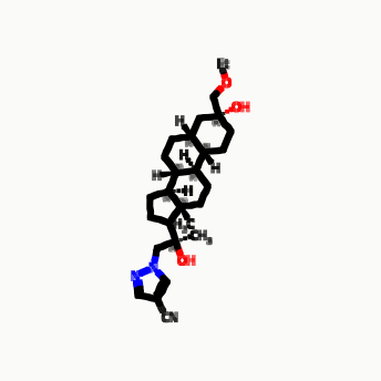 CCOC[C@@]1(O)CC[C@H]2[C@H](CC[C@@H]3[C@@H]2CC[C@]2(C)C([C@@](C)(O)Cn4cc(C#N)cn4)CC[C@@H]32)C1